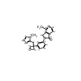 Cn1cnnc1CC1(c2cccc(N3Cc4c(ccnc4C(F)(F)F)C3=O)c2)COC1